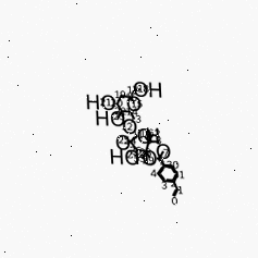 C=Cc1ccc(C2OC[C@H]3O[C@H](OCC4O[C@H](CO)C[C@H](O)C4O)C(=O)[C@@H](O)[C@@H]3O2)cc1